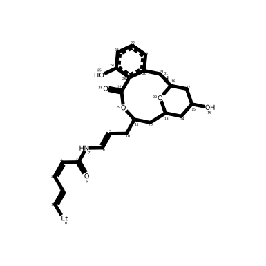 CCC=C/C=C\C(=O)N/C=C/CC1CC2CC(O)C[C@H](Cc3cccc(O)c3C(=O)O1)O2